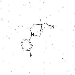 CC1(CC#N)CCN(c2cccc(F)c2)CC1